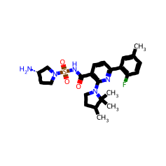 Cc1ccc(F)c(-c2ccc(C(=O)NS(=O)(=O)N3CC[C@H](N)C3)c(N3CCC(C)C3(C)C)n2)c1